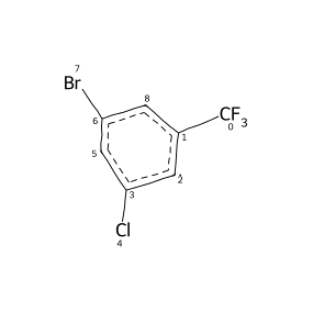 FC(F)(F)c1[c]c(Cl)cc(Br)c1